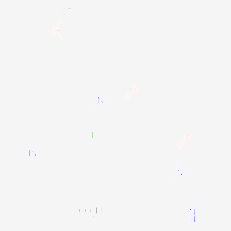 Cc1cn(C(=O)c2c(Cl)ccc(C(=O)N3CCNCC3)c2Cl)c2c(C)cc(OC(F)(F)F)cc12.O=C(O)CC1CCNCC1